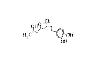 CCC(/C=C/c1ccc(O)c(O)c1)CC(O)CC(C)O